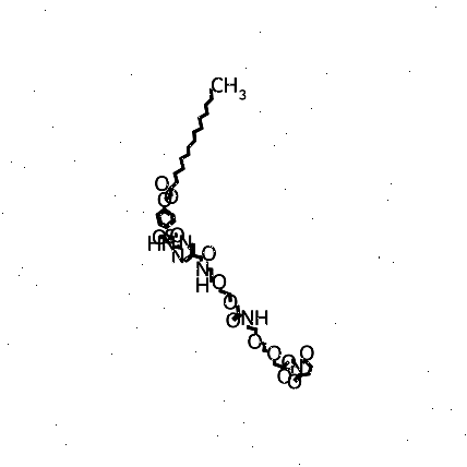 CCCCCCCCCCCCCCCC(=O)OOc1ccc(S(=O)(=O)Nc2ncc(C(=O)NCCOCCOCC(=O)NCCOCCOCC(=O)ON3C(=O)CCC3=O)cn2)cc1